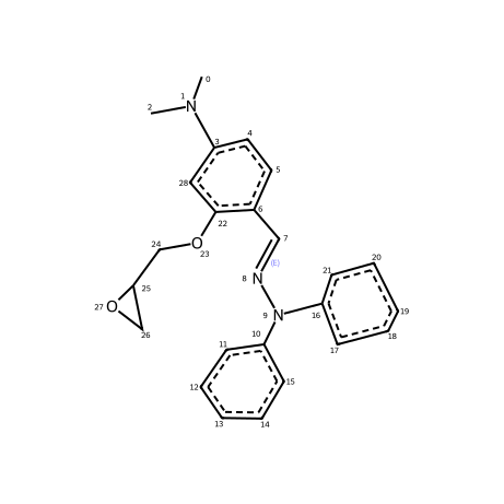 CN(C)c1ccc(/C=N/N(c2ccccc2)c2ccccc2)c(OCC2CO2)c1